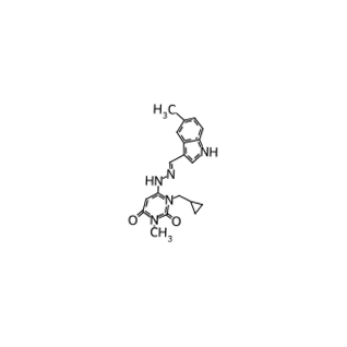 Cc1ccc2[nH]cc(/C=N/Nc3cc(=O)n(C)c(=O)n3CC3CC3)c2c1